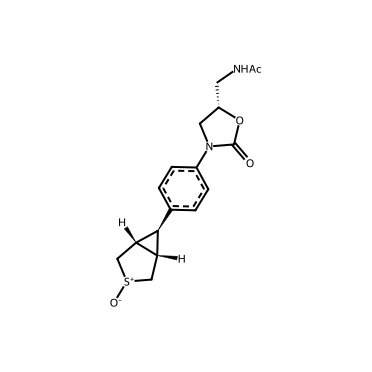 CC(=O)NC[C@H]1CN(c2ccc([C@H]3[C@@H]4C[S+]([O-])C[C@@H]43)cc2)C(=O)O1